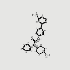 Nc1nccc(-c2ccc(NC(=O)[C@@H](c3ccccc3)N3CCC(O)CC3)cc2)n1